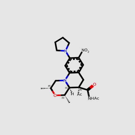 CC(=O)NC(=O)[C@]1(C(C)=O)Cc2cc([N+](=O)[O-])c(N3CCCC3)cc2N2C[C@@H](C)O[C@@H](C)[C@@H]21